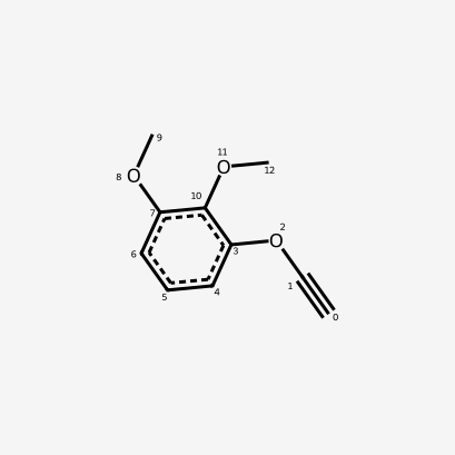 C#COc1cccc(OC)c1OC